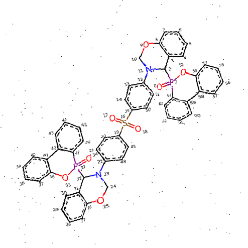 O=P1(C2c3ccccc3OCN2c2ccc(S(=O)(=O)c3ccc(N4COc5ccccc5C4P4(=O)Oc5ccccc5-c5ccccc54)cc3)cc2)Oc2ccccc2-c2ccccc21